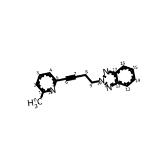 Cc1cccc(C#CCCn2nc3ccccc3n2)n1